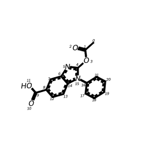 CC(=O)Oc1nc2cc(C(=O)O)ccc2n1-c1ccccc1